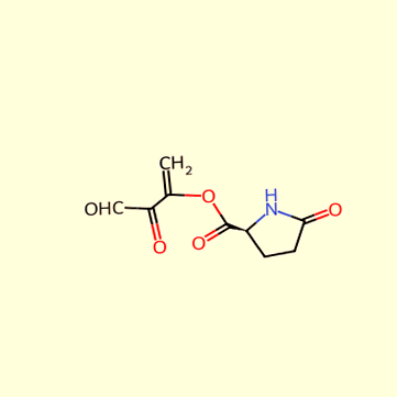 C=C(OC(=O)[C@@H]1CCC(=O)N1)C(=O)C=O